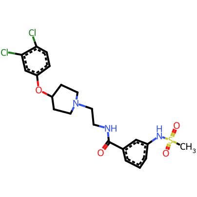 CS(=O)(=O)Nc1cccc(C(=O)NCCN2CCC(Oc3ccc(Cl)c(Cl)c3)CC2)c1